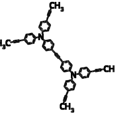 CC#Cc1ccc(N(c2ccc(C#CC)cc2)c2ccc(C#Cc3ccc(N(c4ccc(C#CC)cc4)c4ccc(C#CC)cc4)cc3)cc2)cc1